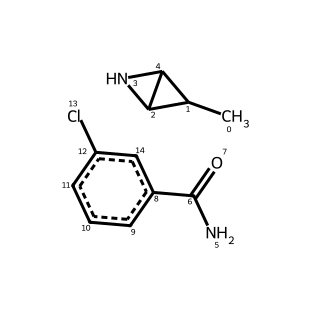 CC1C2NC12.NC(=O)c1cccc(Cl)c1